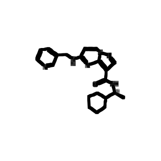 C[C@H](NC(=O)c1cnn2ccc(NCc3cccnc3)nc12)C1CCCCC1